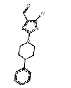 O=Cc1sc(N2CCN(c3ccccc3)CC2)nc1Cl